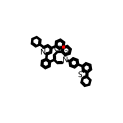 C=C1/C=C(c2ccccc2-c2cc(-c3ccccc3)cc(C3=CCCC=C3)n2)\C=C/N(c2ccc(-c3cccc4c5c(sc34)C=CCC5)cc2)c2ccccc21